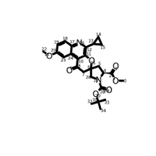 COC(=O)[C@@H]1CC2(CC(=O)c3c(c(C4CC4)nc4ccc(OC)cc34)O2)CN1C(=O)OC(C)(C)C